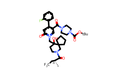 C[C@H](CC(F)(F)F)C(=O)N1CCC(O)(Cn2cc(C(=O)N3CCN(C(=O)OC(C)(C)C)CC3)c(-c3ccccc3F)cc2=O)C2(CCCC2)C1